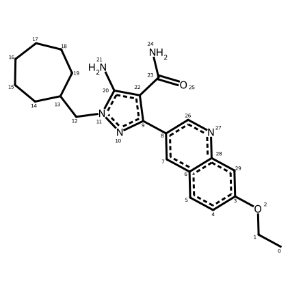 CCOc1ccc2cc(-c3nn(CC4CCCCCC4)c(N)c3C(N)=O)cnc2c1